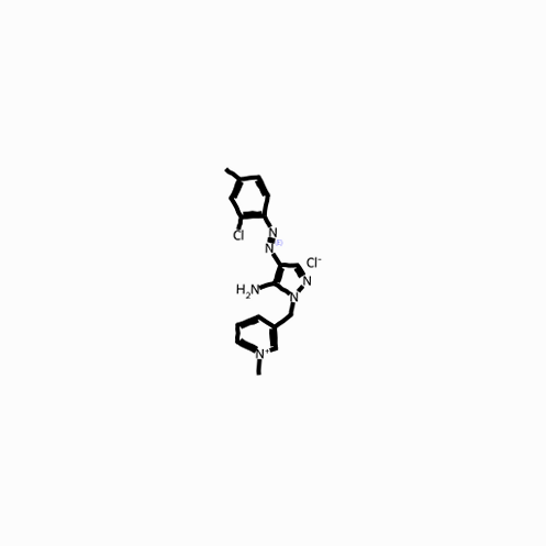 Cc1ccc(/N=N/c2cnn(Cc3ccc[n+](C)c3)c2N)c(Cl)c1.[Cl-]